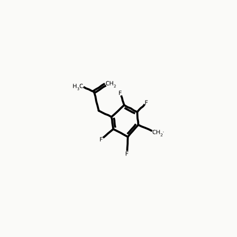 [CH2]c1c(F)c(F)c(CC(=C)C)c(F)c1F